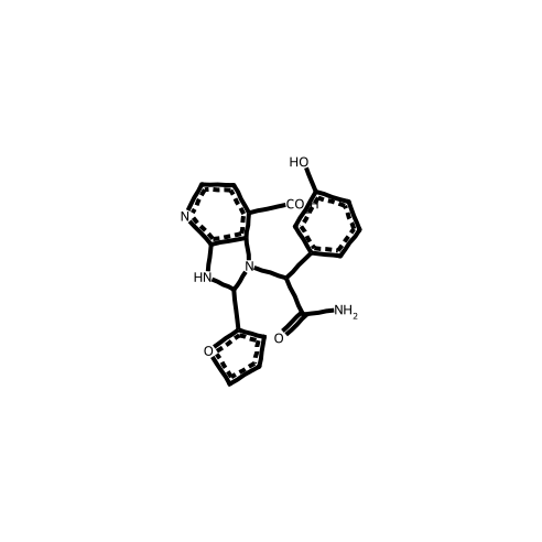 NC(=O)C(c1cccc(O)c1)N1c2c(C(=O)O)ccnc2NC1c1ccco1